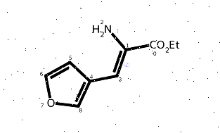 CCOC(=O)/C(N)=C/c1ccoc1